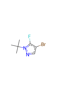 CC(C)(C)n1ncc(Br)c1F